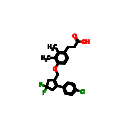 Cc1c(CCC(=O)O)ccc(OCC2=C(c3ccc(Cl)cc3)CC(F)(F)C2)c1C